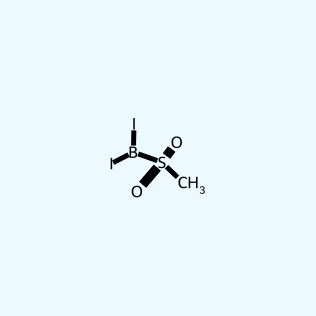 CS(=O)(=O)B(I)I